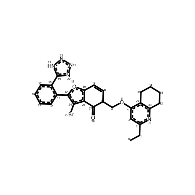 CCc1cc(OCC2C=Cc3oc(-c4ccccc4-c4nnn[nH]4)c(Br)c3C2=O)c2c(n1)CCCC2